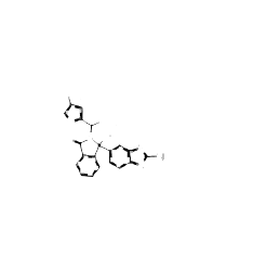 Cc1csc(C(C)N2C(=O)c3ccccc3C2(O)c2ccc3[nH]c(NC(=O)O)nc3c2)c1